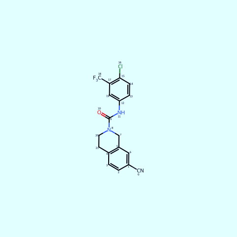 N#Cc1ccc2c(c1)CN(C(=O)Nc1ccc(Cl)c(C(F)(F)F)c1)CC2